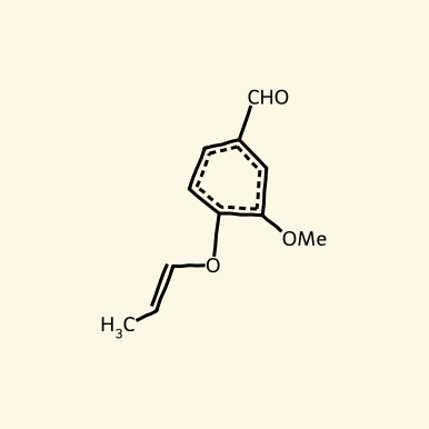 CC=COc1ccc(C=O)cc1OC